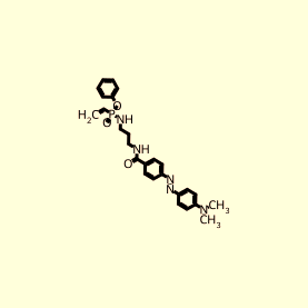 C=CP(=O)(NCCCNC(=O)c1ccc(/N=N/c2ccc(N(C)C)cc2)cc1)Oc1ccccc1